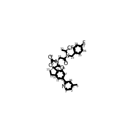 Cc1ccnc(-c2ccc3c(c2)CC[C@@]32OC(=O)N(CC(=O)N(Cc3ccc(F)cc3)[C@@H](C)C(F)(F)F)C2=O)c1